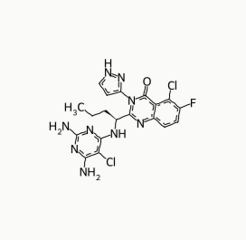 CCC[C@H](Nc1nc(N)nc(N)c1Cl)c1nc2ccc(F)c(Cl)c2c(=O)n1-c1cc[nH]n1